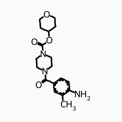 Cc1cc(C(=O)N2CCN(C(=O)OC3CCOCC3)CC2)ccc1N